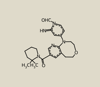 CC1(C)CCCCN1C(=O)c1cnc2c(c1)CCOCCN2c1ccn(C=O)c(=N)c1